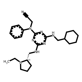 CCN1CCC[C@H]1CNc1nc(NCC2CCCCC2)nc(N(CC#N)c2ccccc2)n1